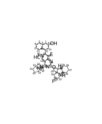 C#Cc1cccc2cc(O)cc(-c3ncc4c(N5CC6CCC(C5)N6)nc(OCC56C[C@H](F)CN5[C@@H]5CCCC[C@@H]5C6)nc4c3F)c12